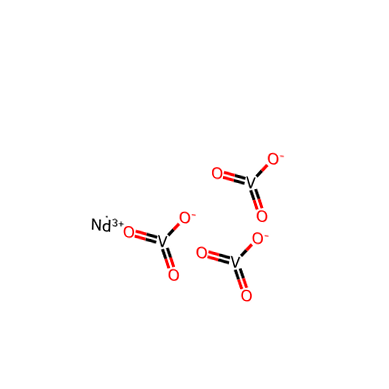 [Nd+3].[O]=[V](=[O])[O-].[O]=[V](=[O])[O-].[O]=[V](=[O])[O-]